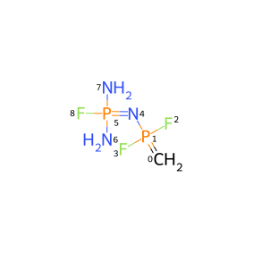 C=P(F)(F)N=P(N)(N)F